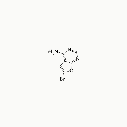 Nc1ncnc2oc(Br)cc12